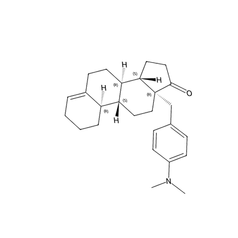 CN(C)c1ccc(C[C@]23CC[C@H]4[C@@H](CCC5=CCCC[C@@H]54)[C@@H]2CCC3=O)cc1